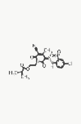 C=C(C)C(=O)OCCN1C(=O)C(C#N)=C(C)/C(=N/Nc2ccc(Cl)cc2[N+](=O)[O-])C1=O